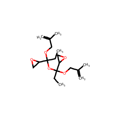 C=C(C)COC(CC)(OC(CC)(OCC(=C)C)C1CO1)C1CO1